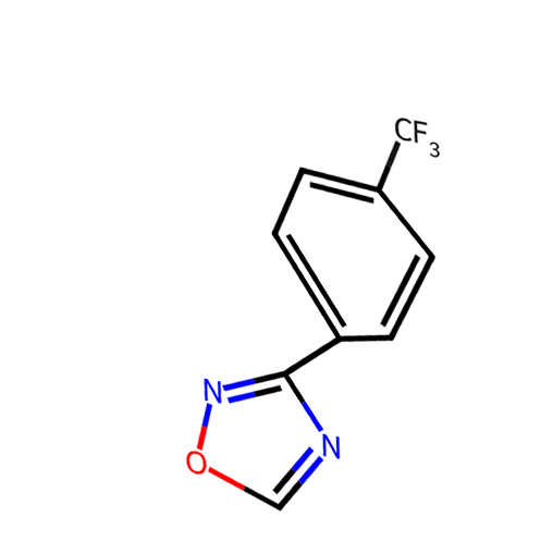 FC(F)(F)c1ccc(-c2ncon2)cc1